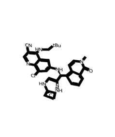 Cn1ccc2c([C@H](Nc3cc(Cl)c4ncc(C#N)c(NCC(C)(C)C)c4c3)/C(=C/NC34CC(C3)C4)N=N)cccc2c1=O